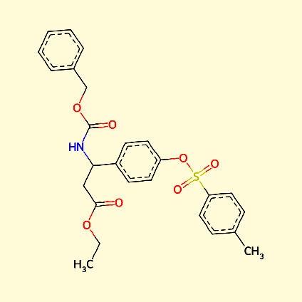 CCOC(=O)CC(NC(=O)OCc1ccccc1)c1ccc(OS(=O)(=O)c2ccc(C)cc2)cc1